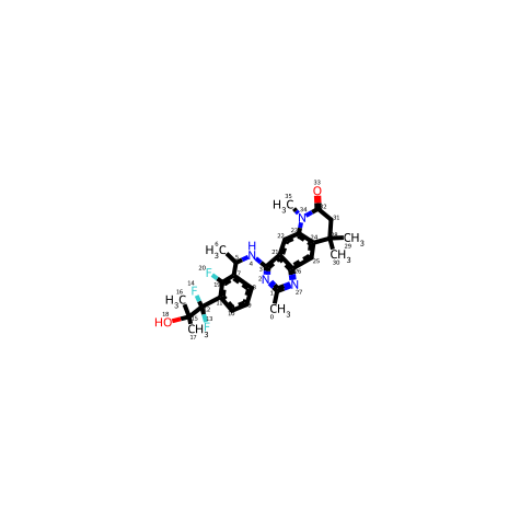 Cc1nc(NC(C)c2cccc(C(F)(F)C(C)(C)O)c2F)c2cc3c(cc2n1)C(C)(C)CC(=O)N3C